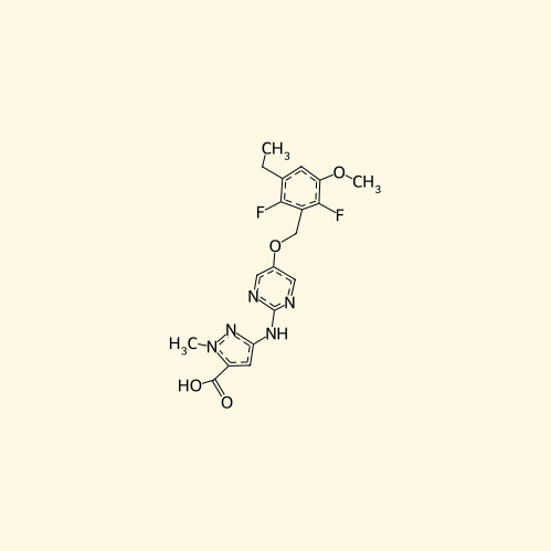 CCc1cc(OC)c(F)c(COc2cnc(Nc3cc(C(=O)O)n(C)n3)nc2)c1F